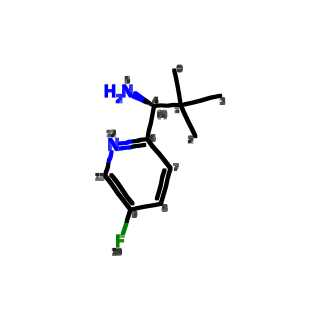 CC(C)(C)[C@H](N)c1ccc(F)cn1